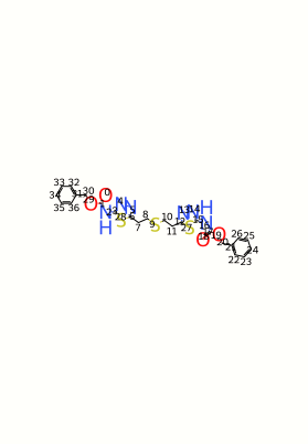 O=C(Nc1nnc(CCSCCc2nnc(NC(=O)OCc3ccccc3)s2)s1)OCc1ccccc1